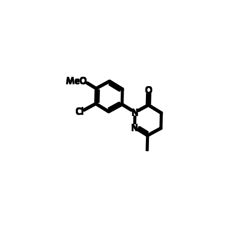 COc1ccc(N2N=C(C)CCC2=O)cc1Cl